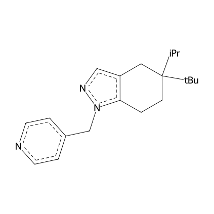 CC(C)C1(C(C)(C)C)CCc2c(cnn2Cc2ccncc2)C1